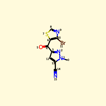 Cn1nc(C(=O)c2scnc2Br)cc1C#N